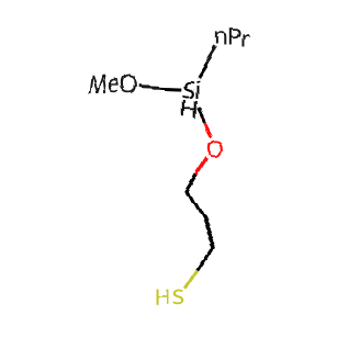 CCC[SiH](OC)OCCS